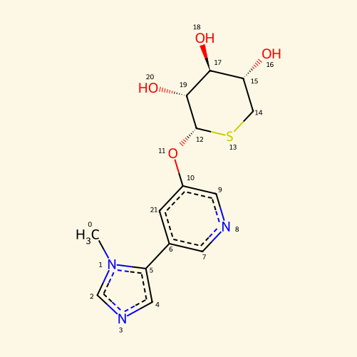 Cn1cncc1-c1cncc(O[C@H]2SC[C@@H](O)[C@H](O)[C@H]2O)c1